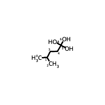 CC(C)CCC(O)(O)O